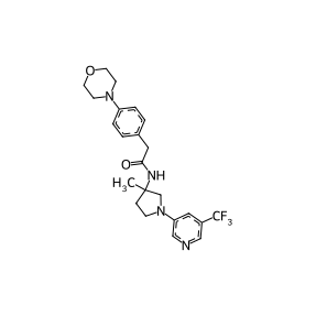 CC1(NC(=O)Cc2ccc(N3CCOCC3)cc2)CCN(c2cncc(C(F)(F)F)c2)C1